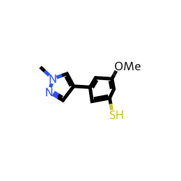 COc1cc(S)cc(-c2cnn(C)c2)c1